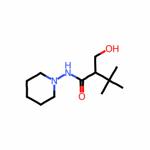 CC(C)(C)C(CO)C(=O)NN1CCCCC1